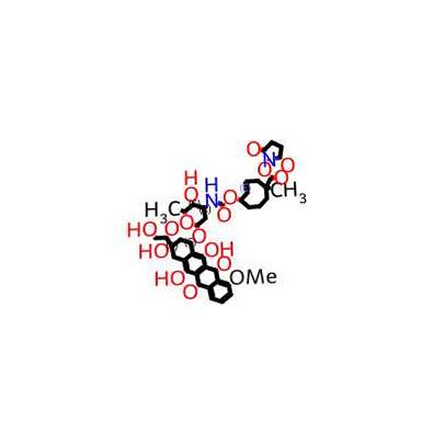 COc1cccc2c1C(=O)c1c(O)c3c(c(O)c1C2=O)C[C@@](O)(C(=O)CO)C[C@@H]3OC1C[C@@H](NC(=O)OC2/C=C/CC(C)(C(=O)ON3C(=O)CCC3=O)CCC2)[C@H](O)C(C)O1